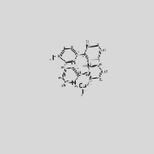 [Cu+2].[I-].[I-].c1ccc(-c2ccccn2)nc1.c1ccc(-c2ccccn2)nc1